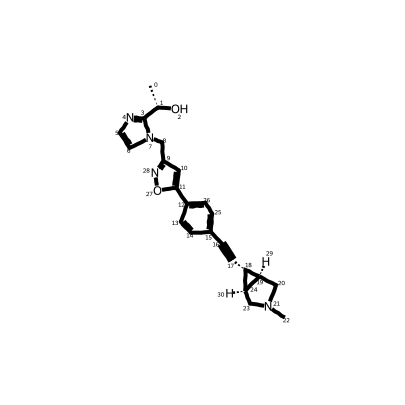 C[C@H](O)c1nccn1Cc1cc(-c2ccc(C#C[C@@H]3[C@H]4CN(C)C[C@@H]34)cc2)on1